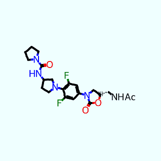 CC(=O)NC[C@H]1CN(c2cc(F)c(N3CCC(NC(=O)N4CCCC4)C3)c(F)c2)C(=O)O1